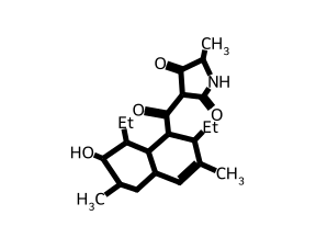 CCC1C(C)=CC2CC(C)C(O)C(CC)C2C1C(=O)C1C(=O)NC(C)C1=O